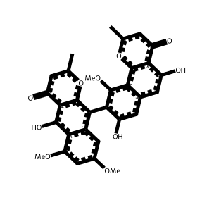 COc1cc(OC)c2c(O)c3c(=O)cc(C)oc3c(-c3c(O)cc4cc(O)c5c(=O)cc(C)oc5c4c3OC)c2c1